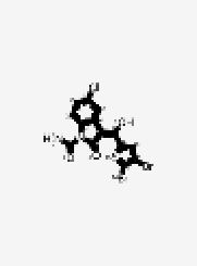 NC(=O)N1C(=O)C(=C(O)c2cc(Br)c(Br)s2)c2cc(Cl)ccc21